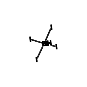 [I][BiH]([I])([I])[I]